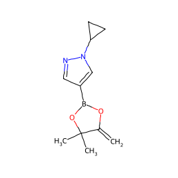 C=C1OB(c2cnn(C3CC3)c2)OC1(C)C